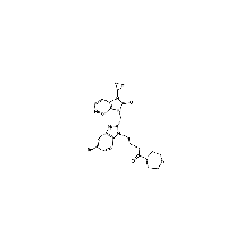 O=C(CCCn1c(Cn2c(=O)n(C3CC3)c3ccncc32)nc2cc(Br)ccc21)N1CCOCC1